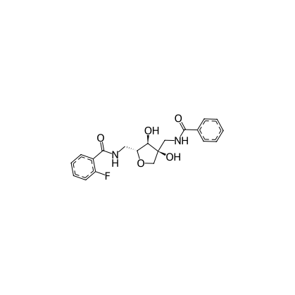 O=C(NC[C@]1(O)CO[C@H](CNC(=O)c2ccccc2F)[C@H]1O)c1ccccc1